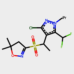 CC(C)n1nc(Cl)c(C(C)S(=O)(=O)C2=NOC(C)(C)C2)c1C(F)F